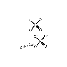 O=P([O-])([O-])[O-].O=P([O-])([O-])[O-].[Na+].[Na+].[Zr+4]